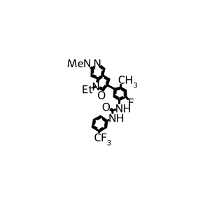 CCn1c(=O)c(-c2cc(NC(=O)Nc3cccc(C(F)(F)F)c3)c(F)cc2C)cc2cnc(NC)cc21